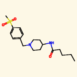 CCCCC(=O)NC1CCN(Cc2ccc(S(C)(=O)=O)cc2)CC1